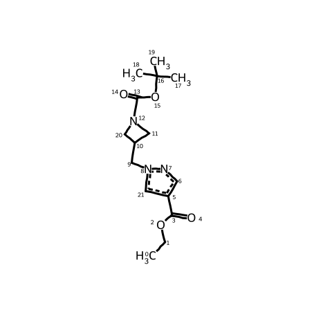 CCOC(=O)c1cnn(CC2CN(C(=O)OC(C)(C)C)C2)c1